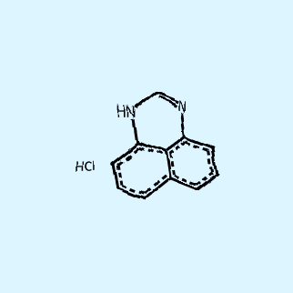 C1=Nc2cccc3cccc(c23)N1.Cl